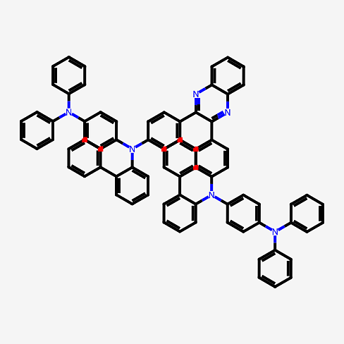 c1ccc(-c2ccccc2N(c2ccc(-c3nc4ccccc4nc3-c3ccc(N(c4ccc(N(c5ccccc5)c5ccccc5)cc4)c4ccccc4-c4ccccc4)cc3)cc2)c2ccc(N(c3ccccc3)c3ccccc3)cc2)cc1